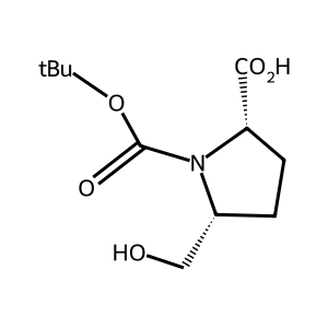 CC(C)(C)OC(=O)N1[C@@H](CO)CC[C@H]1C(=O)O